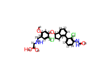 COc1cc(OC2CCc3c(-c4cccc(NC=O)c4Cl)cccc32)c(Cl)cc1CNCC(=O)O